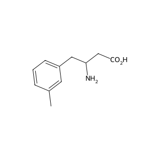 Cc1cccc(CC(N)CC(=O)O)c1